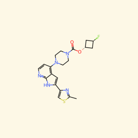 Cc1nc(-c2cc3c(N4CCN(C(=O)O[C@H]5C[C@H](F)C5)CC4)ccnc3[nH]2)cs1